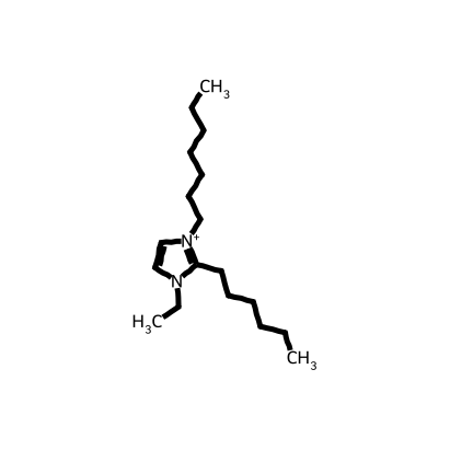 CCCCCCC[n+]1ccn(CC)c1CCCCCC